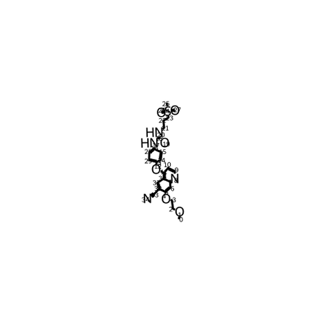 COCCOc1cc2nccc(Oc3ccc(NC(=O)NCCCS(C)(=O)=O)cc3)c2cc1C#N